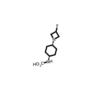 O=C(O)N[C@H]1CC[C@@H](N2CC(F)C2)CC1